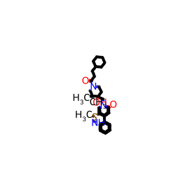 CS(=N)c1cn(CC2(O)CCN(C(=O)CCC3CCCCC3)CC2(C)C)c(=O)cc1-c1ccccc1